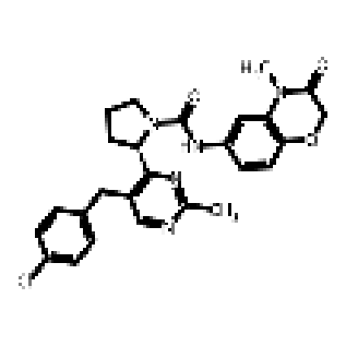 Cc1ncc(Cc2ccc(Cl)cc2)c([C@H]2CCCN2C(=O)Nc2ccc3c(c2)N(C)C(=O)CO3)n1